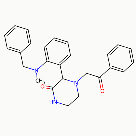 CN(Cc1ccccc1)c1ccccc1C1C(=O)NCCN1CC(=O)c1ccccc1